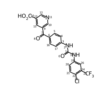 O=C(Nc1ccc(C(=O)c2cncc(C(=O)O)c2)cc1)Nc1ccc(Cl)c(C(F)(F)F)c1